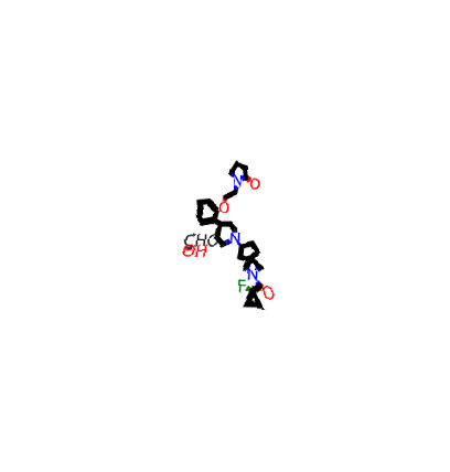 O=C1CCCN1CCOc1ccccc1C1CCN([C@H]2CCC3(C2)CN(C(=O)C2(F)CC2)C3)CC1.O=CO